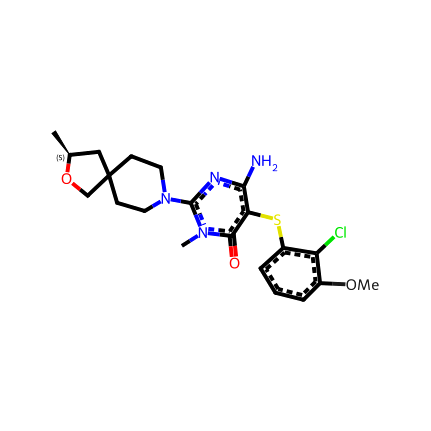 COc1cccc(Sc2c(N)nc(N3CCC4(CC3)CO[C@@H](C)C4)n(C)c2=O)c1Cl